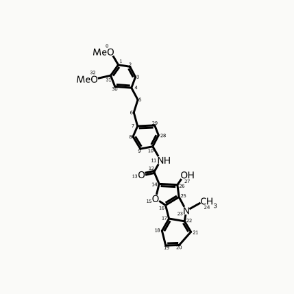 COc1ccc(CCc2ccc(NC(=O)c3oc4c5ccccc5n(C)c4c3O)cc2)cc1OC